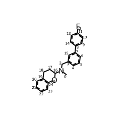 CN(Cc1cccc(-c2ccc(F)cc2)c1)C1CCc2ccccc2O1